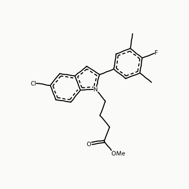 COC(=O)CCCn1c(-c2cc(C)c(F)c(C)c2)cc2cc(Cl)ccc21